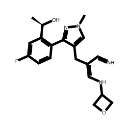 C[C@@H](O)c1cc(F)ccc1-c1nn(C)cc1C/C(C=N)=C/NC1COC1